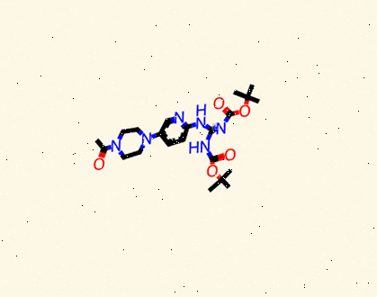 CC(=O)N1CCN(c2ccc(N/C(=N\C(=O)OC(C)(C)C)NC(=O)OC(C)(C)C)nc2)CC1